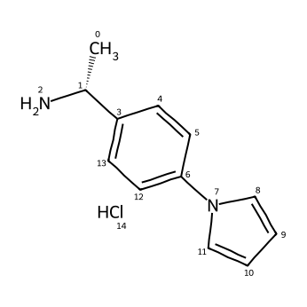 C[C@@H](N)c1ccc(-n2cccc2)cc1.Cl